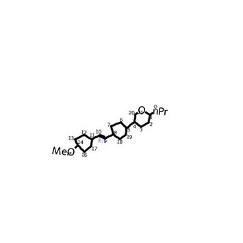 CCCC1CCC(C2CCC(/C=C/C3CCC(OC)CC3)CC2)CO1